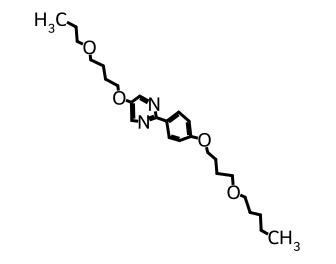 CCCCCOCCCCOc1ccc(-c2ncc(OCCCCOCCC)cn2)cc1